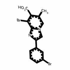 Cc1cn2cc(-c3cccc(Br)c3)nc2c(Br)c1C(=O)O